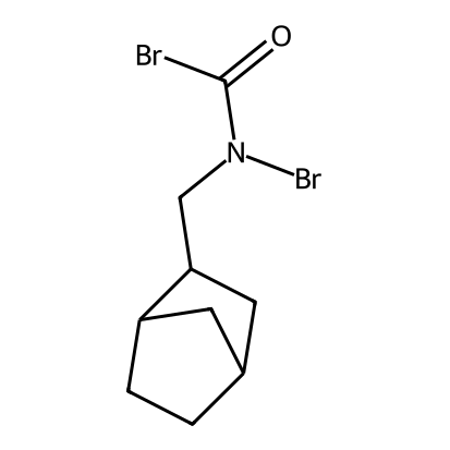 O=C(Br)N(Br)CC1CC2CCC1C2